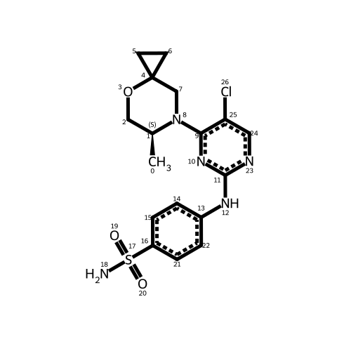 C[C@H]1COC2(CC2)CN1c1nc(Nc2ccc(S(N)(=O)=O)cc2)ncc1Cl